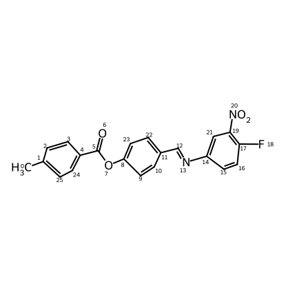 Cc1ccc(C(=O)Oc2ccc(/C=N/c3ccc(F)c([N+](=O)[O-])c3)cc2)cc1